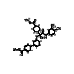 CNC(=O)c1ccc(-c2cccc(CC(O)(C(=O)Nc3ccc(C#N)c(C(F)(F)F)c3)C3CCN(C(=O)OC(C)(C)C)CC3)c2)cc1